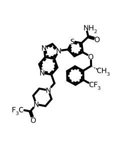 C[C@@H](Oc1cc(-n2cnc3cnc(CN4CCN(C(=O)C(F)(F)F)CC4)cc32)sc1C(N)=O)c1ccccc1C(F)(F)F